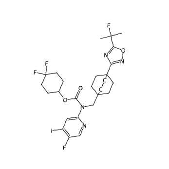 CC(C)(F)c1nc(C23CCC(CN(C(=O)OC4CCC(F)(F)CC4)c4cc(I)c(F)cn4)(CC2)CC3)no1